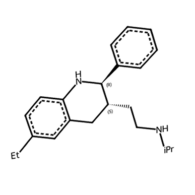 CCc1ccc2c(c1)C[C@@H](CCNC(C)C)[C@H](c1ccccc1)N2